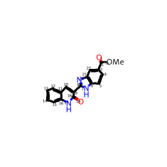 COC(=O)c1ccc2[nH]c(-c3cc4ccccc4[nH]c3=O)nc2c1